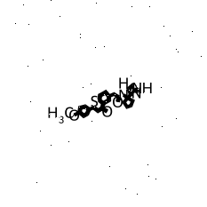 COc1ccc(-c2cc(=O)c3cc(CC(=O)NC4(c5cc[nH]n5)CCCC4)ccc3s2)cc1